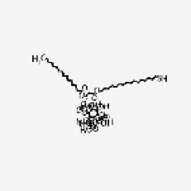 CCCCCCCCCCCCCCCC(=O)O[C@@H](COP(=O)(O)OC1C(O)[C@H](O)C(OP(=O)(O)O)[C@H](OP(=O)(O)O)[C@@H]1O)CC(=O)OCCCCCCCCCCCCCCCCS